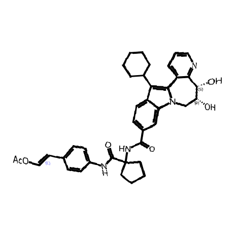 CC(=O)O/C=C/c1ccc(NC(=O)C2(NC(=O)c3ccc4c(C5CCCCC5)c5n(c4c3)C[C@@H](O)[C@@H](O)c3ncccc3-5)CCCC2)cc1